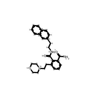 NC(=O)c1cccc(CCN2CCOCC2)c1C(=O)NCCc1ccc2ccccc2c1